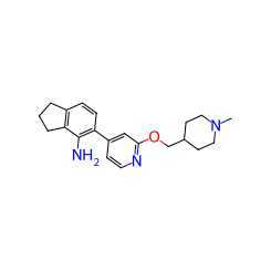 CN1CCC(COc2cc(-c3ccc4c(c3N)CCC4)ccn2)CC1